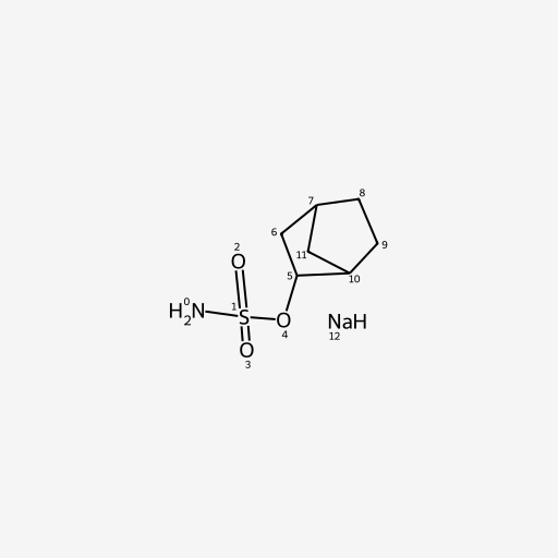 NS(=O)(=O)OC1CC2CCC1C2.[NaH]